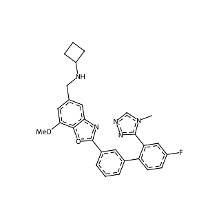 COc1cc(CNC2CCC2)cc2nc(-c3cccc(-c4ccc(F)cc4-c4nncn4C)c3)oc12